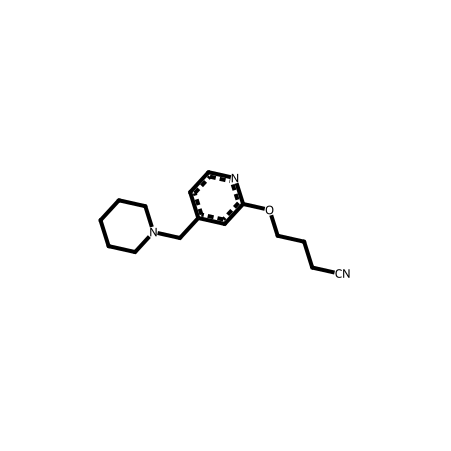 N#CCCCOc1cc(CN2CCCCC2)ccn1